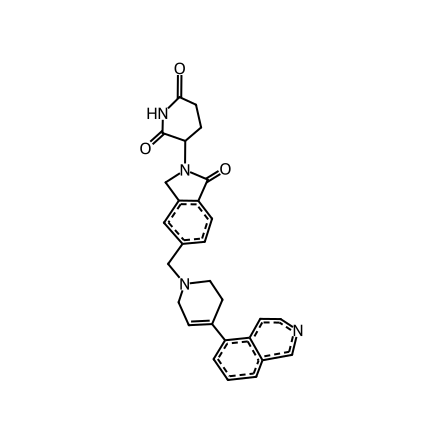 O=C1CCC(N2Cc3cc(CN4CC=C(c5cccc6cnccc56)CC4)ccc3C2=O)C(=O)N1